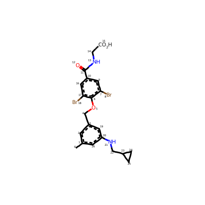 Cc1cc(COc2c(Br)cc(C(=O)NCC(=O)O)cc2Br)cc(NCC2CC2)c1